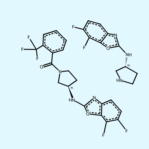 Fc1ccc2nc(N[C@@H]3CCNC3)oc2c1F.O=C(c1ccccc1C(F)(F)F)N1CC[C@@H](Nc2nc3ccc(F)c(F)c3o2)C1